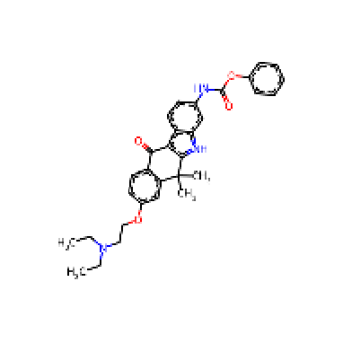 CCN(CC)CCOc1ccc2c(c1)C(C)(C)c1[nH]c3cc(NC(=O)Oc4ccccc4)ccc3c1C2=O